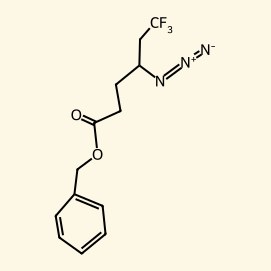 [N-]=[N+]=NC(CCC(=O)OCc1ccccc1)CC(F)(F)F